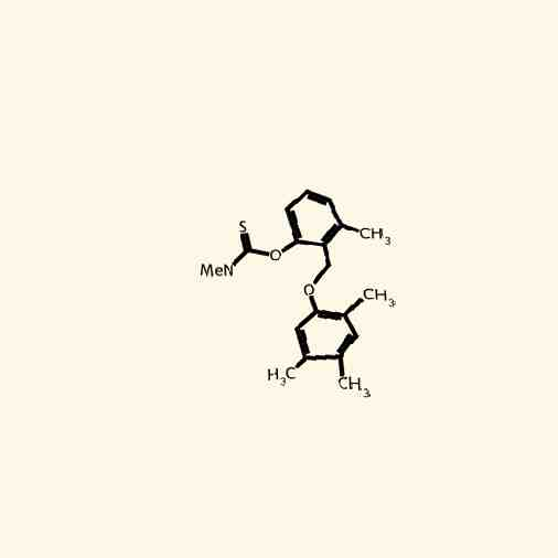 CNC(=S)Oc1cccc(C)c1COc1cc(C)c(C)cc1C